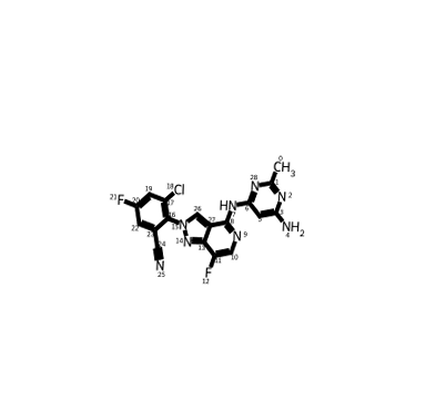 Cc1nc(N)cc(Nc2ncc(F)c3nn(-c4c(Cl)cc(F)cc4C#N)cc23)n1